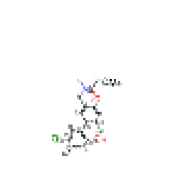 COCC(=O)N(C)Cc1ccc(F)c(-c2cc(Cl)c(C)cc2O)c1